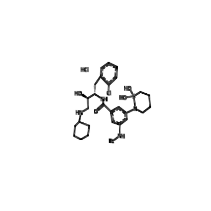 CCNc1cc(C(=O)N[C@@H](Cc2ccccc2Cl)[C@H](O)CNC2CCCCC2)cc(N2CCCCS2(O)O)c1.Cl